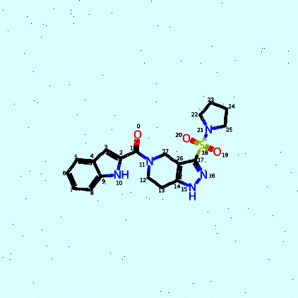 O=C(c1cc2ccccc2[nH]1)N1CCc2[nH]nc(S(=O)(=O)N3CCCC3)c2C1